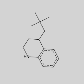 CC(C)(C)CC1CCNc2ccccc21